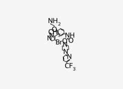 Cn1ncc(Br)c1-c1cc(NC(=O)ON2CCN(c3ccc(C(F)(F)F)cn3)CC2)ccc1OCCN